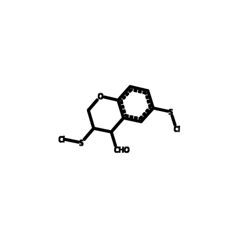 O=CC1c2cc(SCl)ccc2OCC1SCl